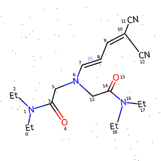 CCN(CC)C(=O)CN(/C=C/C=C(C#N)C#N)CC(=O)N(CC)CC